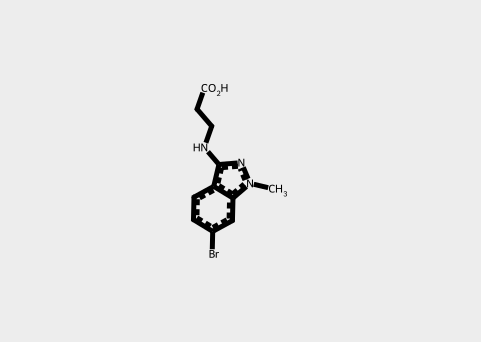 Cn1nc(NCCC(=O)O)c2ccc(Br)cc21